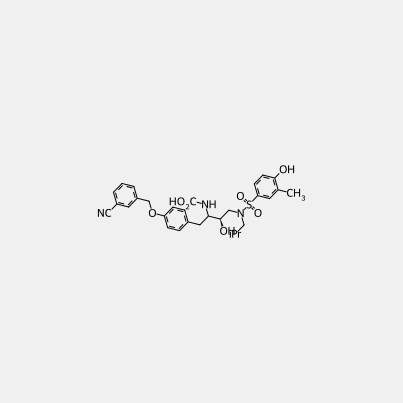 Cc1cc(S(=O)(=O)N(CC(C)C)C[C@@H](O)C(Cc2ccc(OCc3cccc(C#N)c3)cc2)NC(=O)O)ccc1O